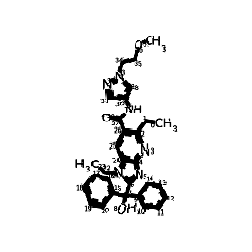 CCc1nc2nc(C(O)(c3ccccc3)c3ccccc3)n(CC)c2cc1C(=O)Nc1cnn(CCOC)c1